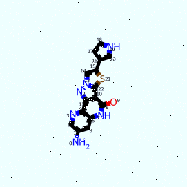 Nc1cnc2c(c1)[nH]c(=O)c1c2nn2cc(-c3cc[nH]c3)sc12